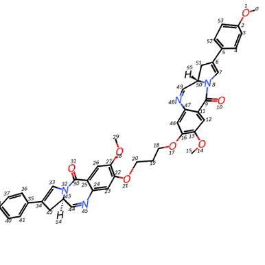 COc1ccc(C2=CN3C(=O)c4cc(OC)c(OCCCOc5cc6c(cc5OC)C(=O)N5C=C(c7ccc(N)cc7)C[C@@H]5C=N6)cc4N=C[C@@H]3C2)cc1